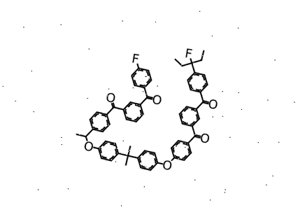 CCC(F)(CC)c1ccc(C(=O)c2cccc(C(=O)c3ccc(Oc4ccc(C(C)(C)c5ccc(OC(C)c6ccc(C(=O)c7cccc(C(=O)c8ccc(F)cc8)c7)cc6)cc5)cc4)cc3)c2)cc1